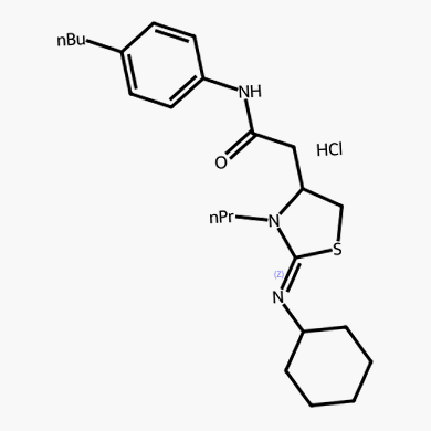 CCCCc1ccc(NC(=O)CC2CS/C(=N\C3CCCCC3)N2CCC)cc1.Cl